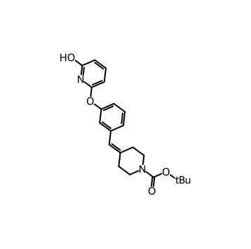 CC(C)(C)OC(=O)N1CCC(=Cc2cccc(Oc3cccc(O)n3)c2)CC1